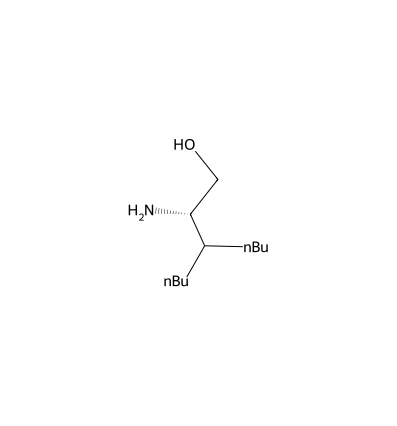 CCCCC(CCCC)[C@H](N)CO